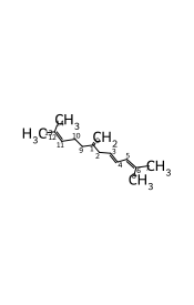 C=C(C/C=C/C=C(C)C)CCC=C(C)C